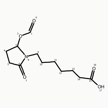 O=COC1CCC(=O)N1CCCCCCC(=O)O